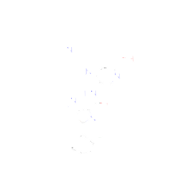 C[C@@H]1C[C@H](N)CN(c2c(NC(=O)c3nc(-c4c(F)cccc4F)sc3N)cnc3c2CC[C@H]3O)C1